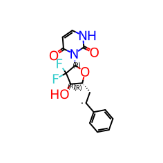 O=c1cc[nH]c(=O)n1[C@@H]1O[C@H](C[CH]c2ccccc2)[C@@H](O)C1(F)F